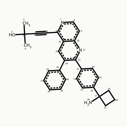 CC(C)(O)C#Cc1nccc2nc(-c3ccc(C4(N)CCC4)cc3)c(-c3ccccc3)cc12